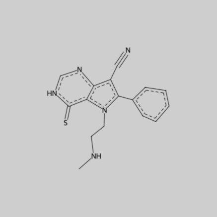 CNCCn1c(-c2ccccc2)c(C#N)c2nc[nH]c(=S)c21